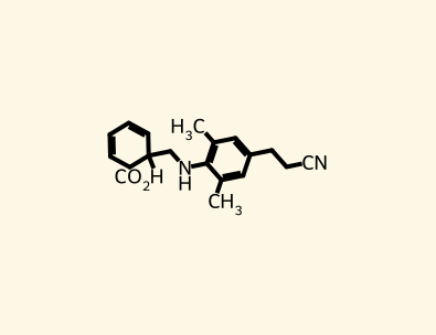 Cc1cc(CCC#N)cc(C)c1NCC1(C(=O)O)C=CC=CC1